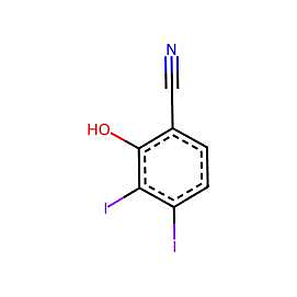 N#Cc1ccc(I)c(I)c1O